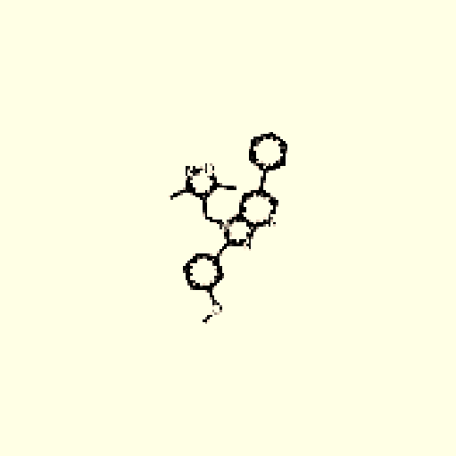 COc1cccc(-c2nc3ncc(-c4ccccc4)cc3n2Cc2c(C)noc2C)c1